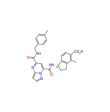 Cc1ccc(CNC(=O)c2cc(C(=O)N[C@H]3CCc4c3ccc(C(=O)O)c4C)n3nccc3n2)cc1